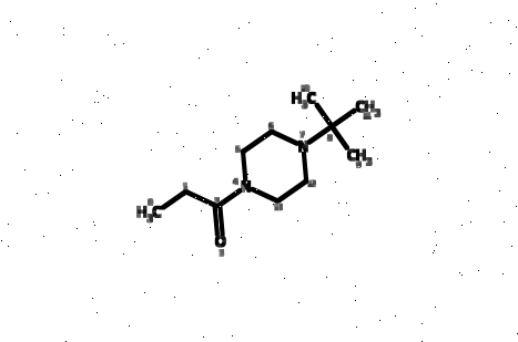 CCC(=O)N1CCN(C(C)(C)C)CC1